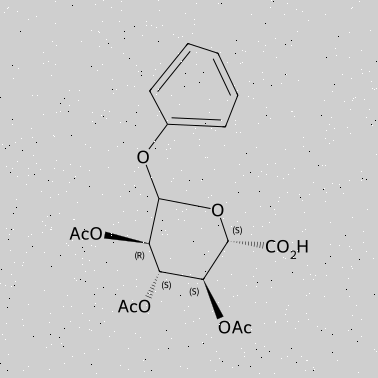 CC(=O)O[C@H]1[C@H](OC(C)=O)[C@@H](OC(C)=O)C(Oc2ccccc2)O[C@@H]1C(=O)O